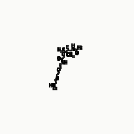 CCNCCOCCOCCNC(=O)COC(C)(C)C(F)CNC(=O)CC